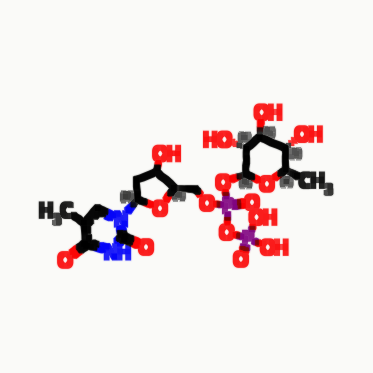 Cc1cn([C@H]2CC(O)[C@@H](COP(=O)(O[C@@H]3O[C@H](C)[C@@H](O)[C@H](O)[C@H]3O)OP(=O)(O)O)O2)c(=O)[nH]c1=O